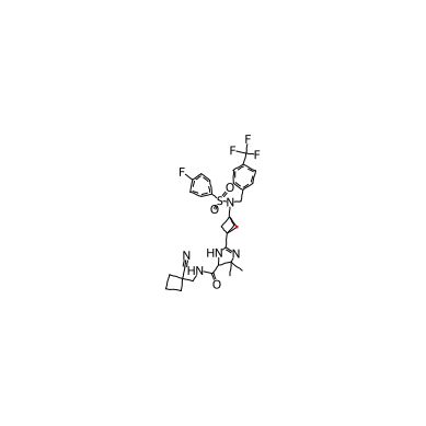 CC1(C)N=C(C23CC(N(Cc4ccc(C(F)(F)F)cc4)S(=O)(=O)c4ccc(F)cc4)(C2)C3)NC1C(=O)NCC1(C#N)CCC1